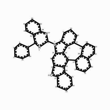 c1ccc(-c2nc(-n3c4cccc5c4c4c(c6c(cc43)oc3ccccc36)-c3cccc4cccc-5c34)nc3ccccc23)cc1